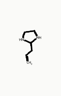 C=C[CH]C1NCCN1